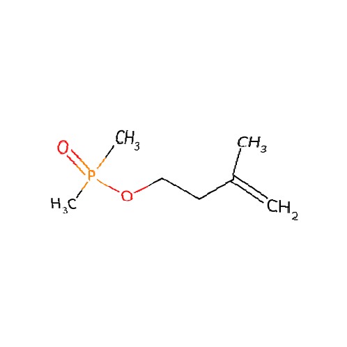 C=C(C)CCOP(C)(C)=O